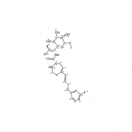 CSC1O[C@H]([C@H](NC(=O)[C@@H]2CC=C(/C=C/COc3ccnc(F)c3)CCN2)[C@H](C)Cl)C(O)C(O)[C@H]1O